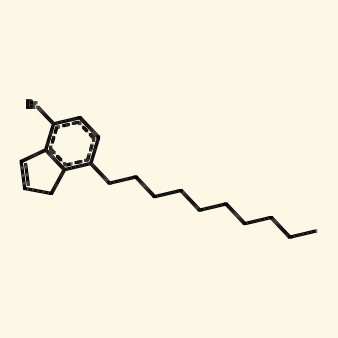 CCCCCCCCCCc1ccc(Br)c2c1CC=C2